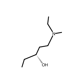 CC[C@@H](O)CCN(C)CC